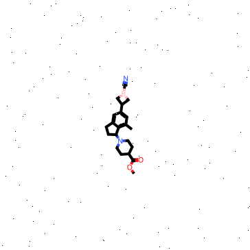 COC(=O)C1CCN(C2CCc3cc(C4CB(C#N)C4)cc(C)c32)CC1